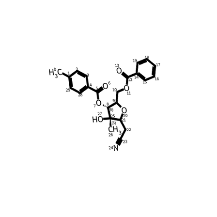 Cc1ccc(C(=O)O[C@@H]2C(COC(=O)c3ccccc3)OC(CC#N)[C@]2(C)O)cc1